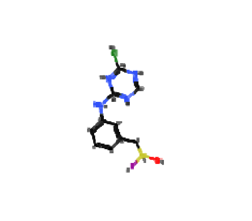 [O-][S+](I)Cc1cccc(Nc2ncnc(Cl)n2)c1